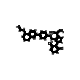 CC(C)c1onc(-c2c(Cl)cccc2Cl)c1COc1ccc(-c2ccc3c(c2)CCCC3OC=O)cc1